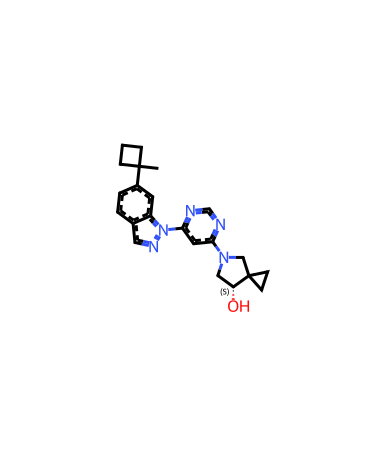 CC1(c2ccc3cnn(-c4cc(N5C[C@@H](O)C6(CC6)C5)ncn4)c3c2)CCC1